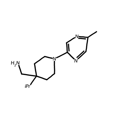 Cc1cnc(N2CCC(CN)(C(C)C)CC2)cn1